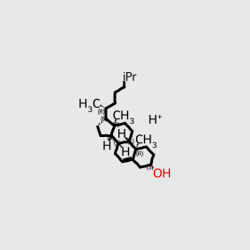 CC(C)CCC[C@@H](C)[C@H]1CC[C@H]2[C@@H]3CC=C4C[C@@H](O)CC[C@]4(C)[C@H]3CC[C@]12C.[H+]